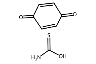 NC(O)=S.O=C1C=CC(=O)C=C1